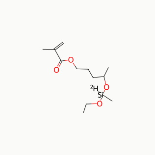 [2H][Si](C)(OCC)OC(C)CCCOC(=O)C(=C)C